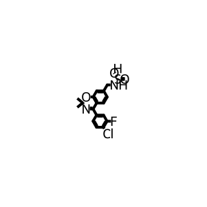 CC1(C)N=C(c2ccc(Cl)c(F)c2)c2ccc(CN[SH](=O)=O)cc2O1